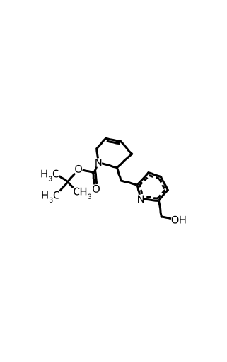 CC(C)(C)OC(=O)N1CC=CCC1Cc1cccc(CO)n1